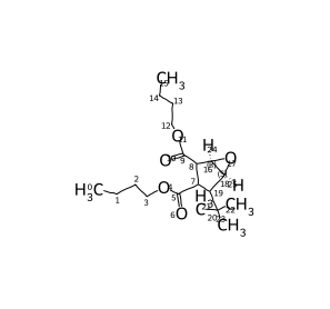 CCCCOC(=O)C1C(C(=O)OCCCC)[C@H]2O[C@H]2C1C(C)(C)C